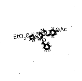 CCOC(=O)c1cnn(-c2nc(OCc3ccccc3)c3c(ncn3Cc3ccc(OC(C)=O)cc3)n2)c1